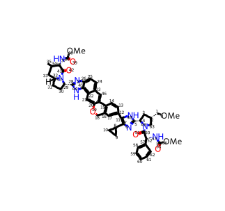 COC[C@H]1C[C@@H](c2nc(C3CC3)c(-c3ccc4c(c3)COc3cc5c(ccc6nc([C@@H]7CC[C@@H]8CC(C)[C@H](NC(=O)OC)C(=O)N87)[nH]c65)cc3-4)[nH]2)N(C(=O)[C@H](NC(=O)OC)c2ccccc2)C1